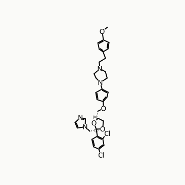 COc1ccc(CCN2CCN(c3ccc(OC[C@@H]4CO[C@@](Cn5ccnc5)(c5ccc(Cl)cc5Cl)O4)cc3)CC2)cc1